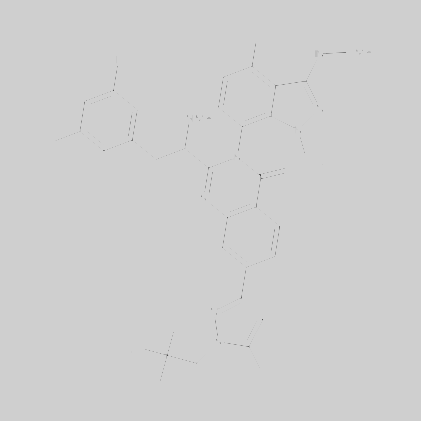 CNC(Cc1cc(F)cc(F)c1)c1nc2cc(-c3cc(C)n(CC(C)(F)F)n3)ccc2c(=O)n1-c1ccc(Cl)c2c(NSC)nn(C)c12